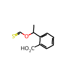 CC(OC=S)c1ccccc1C(=O)O